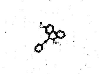 COc1ccc2c(c1)c(C#Cc1ccccc1)c(N)c1ccccc12